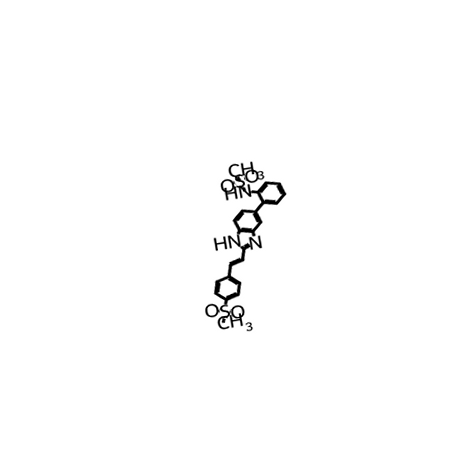 CS(=O)(=O)Nc1ccccc1-c1ccc2[nH]c(C=Cc3ccc(S(C)(=O)=O)cc3)nc2c1